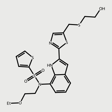 CCOCCN(c1cccc2cc(-c3ncc(CSCCO)s3)[nH]c12)S(=O)(=O)c1cccs1